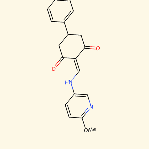 COc1ccc(NC=C2C(=O)CC(c3ccccc3)CC2=O)cn1